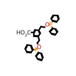 O=C(O)c1cc(CCOP(c2ccccc2)c2ccccc2)cc(CCOP(c2ccccc2)c2ccccc2)c1